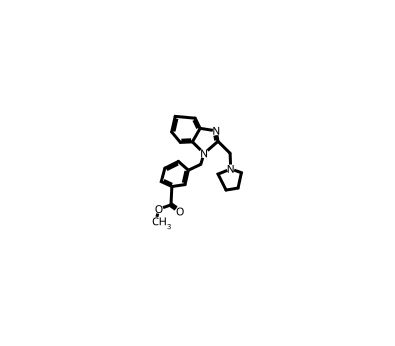 COC(=O)c1cccc(Cn2c(CN3CCCC3)nc3ccccc32)c1